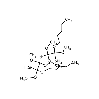 CCCCCOC([SiH3])(OC)C(NC(OC)(OC)C([SiH3])(OC)OCCCCC)(OC)OC